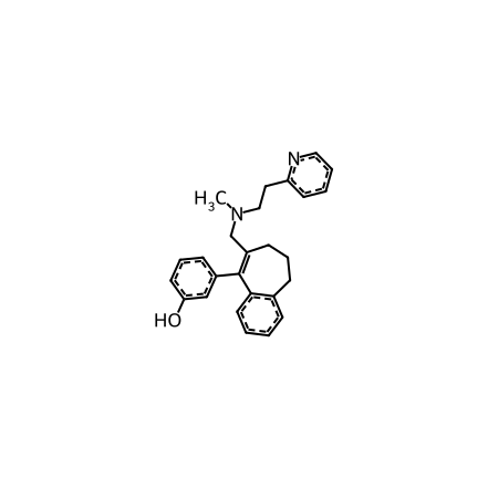 CN(CCc1ccccn1)CC1=C(c2cccc(O)c2)c2ccccc2CCC1